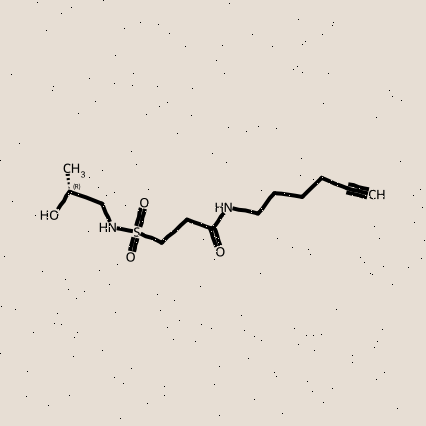 C#CCCCCNC(=O)CCS(=O)(=O)NC[C@@H](C)O